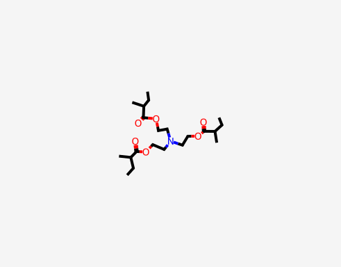 CCC(C)C(=O)OCCN(CCOC(=O)C(C)CC)CCOC(=O)C(C)CC